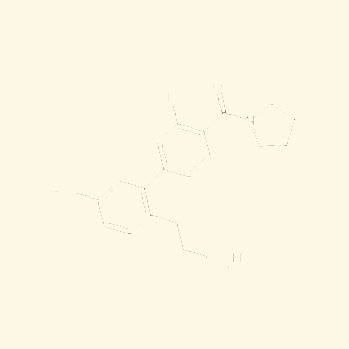 O=C(O)CCc1ccc(C(F)(F)F)cc1-c1ccc(C(=O)N2CCCC2)c(F)c1